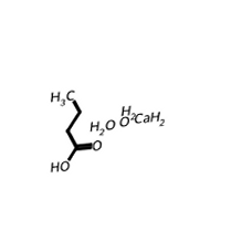 CCCC(=O)O.O.O.[CaH2]